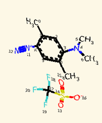 Cc1cc(N(C)C)c(C)cc1[N+]#N.O=S(=O)([O-])C(F)(F)F